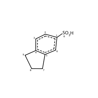 O=S(=O)(O)c1ccc2c(c1)CCC2